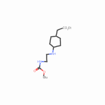 CCOC(=O)CC1CCC(NCCNC(=O)OC(C)(C)C)CC1